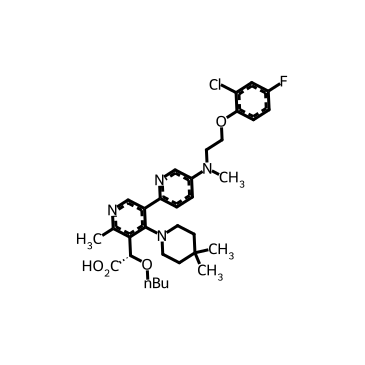 CCCCO[C@H](C(=O)O)c1c(C)ncc(-c2ccc(N(C)CCOc3ccc(F)cc3Cl)cn2)c1N1CCC(C)(C)CC1